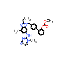 CCc1nc2c(C)cc(NC(=NC#N)N(C)C)cc2n1Cc1ccc(-c2ccccc2OC(=O)OC)cc1